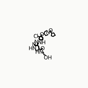 O=C(NCCCO)C1=Cc2c(ncnc2Nc2ccc(OC3CCN(C(=O)C4CCCC4)CC3)c(Cl)c2)NCC1